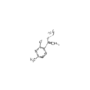 C=C(OCC)c1ccc(C)nc1Cl